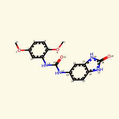 COc1ccc(OC)c(NC(=O)Nc2ccc3[nH]c(=O)[nH]c3c2)c1